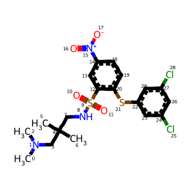 CN(C)CC(C)(C)CNS(=O)(=O)c1cc([N+](=O)[O-])ccc1Sc1cc(Cl)cc(Cl)c1